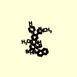 COc1cc(N2CCNCC2)c(-c2cnn(C)c2)cc1Nc1ncc(Br)c(Nc2ccc3ccccc3c2P=O)n1